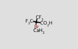 O=C(O)C(Br)(C(F)(F)F)C(F)(F)F.[CaH2]